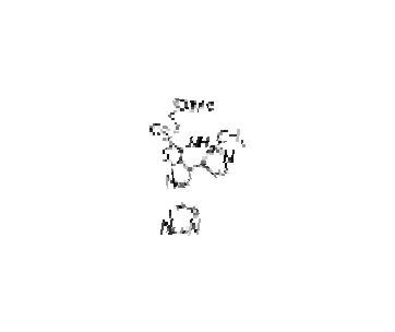 COCC[S+]([O-])c1sc2nc(-c3cncnc3)cc(-c3ccnc(C)c3)c2c1N